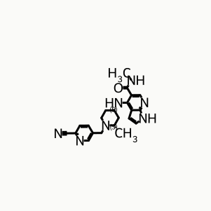 CNC(=O)c1cnc2[nH]ccc2c1N[C@H]1CCN(Cc2ccc(C#N)nc2)[C@@H](C)C1